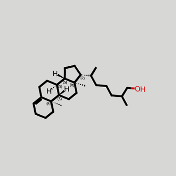 CC(CO)CCCC(C)[C@H]1CC[C@H]2[C@@H]3CCC4=CCCC[C@]4(C)[C@H]3CC[C@]12C